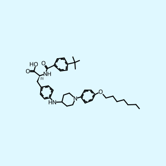 CCCCCCCOc1ccc(N2CCC(Nc3ccc(C[C@H](NC(=O)c4ccc(C(C)(C)C)cc4)C(=O)O)cc3)CC2)cc1